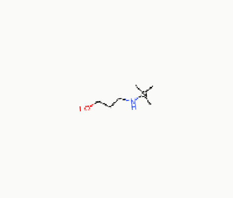 C[Si](C)(C)NCCCO